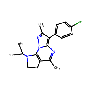 CCCC(CCC)N1CCc2c(C)nc3c(-c4ccc(Br)cc4)c(C)nn3c21